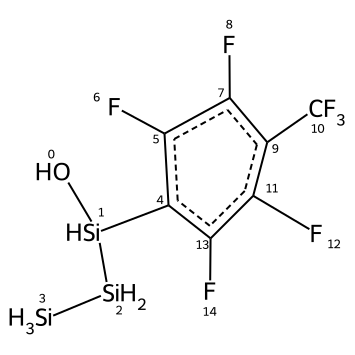 O[SiH]([SiH2][SiH3])c1c(F)c(F)c(C(F)(F)F)c(F)c1F